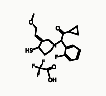 COC/C=C1\CN(C(C(=O)C2CC2)c2ccccc2F)CCC1S.O=C(O)C(F)(F)F